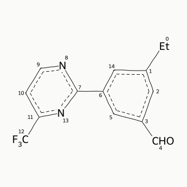 CCc1cc(C=O)cc(-c2nccc(C(F)(F)F)n2)c1